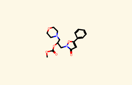 COC(=O)OC(CN1CCOCC1)Cn1oc(-c2ccccc2)cc1=O